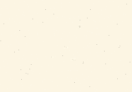 CCNc1cncc(OC2CCNC2)n1